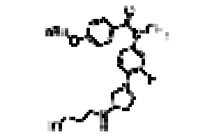 CCCCOc1ccc(C(=O)N(C)c2ccc(N3CCC(NCCCO)C3)c(F)c2)cc1